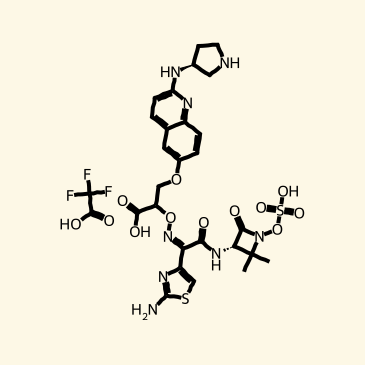 CC1(C)[C@H](NC(=O)/C(=N\OC(COc2ccc3nc(N[C@H]4CCNC4)ccc3c2)C(=O)O)c2csc(N)n2)C(=O)N1OS(=O)(=O)O.O=C(O)C(F)(F)F